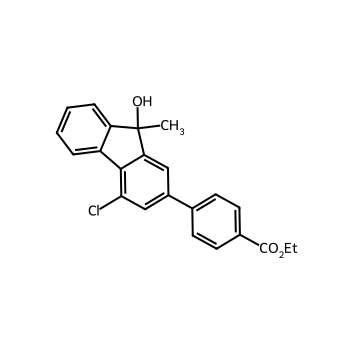 CCOC(=O)c1ccc(-c2cc(Cl)c3c(c2)C(C)(O)c2ccccc2-3)cc1